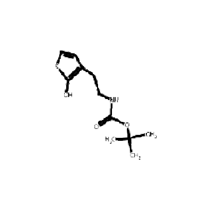 CC(C)(C)OC(=O)NCCc1ccsc1O